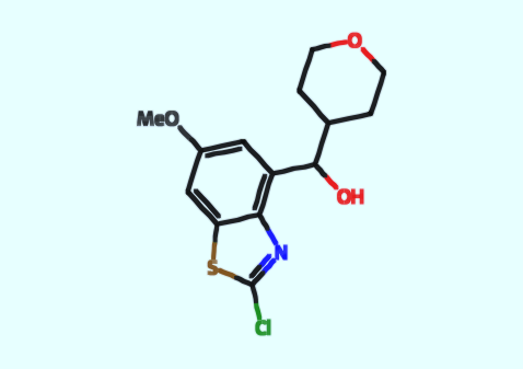 COc1cc(C(O)C2CCOCC2)c2nc(Cl)sc2c1